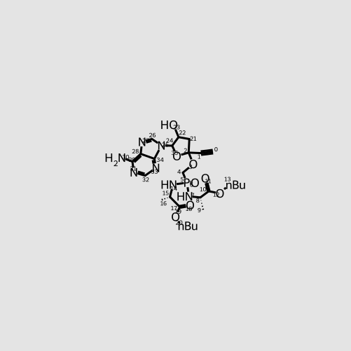 C#CC1(OCP(=O)(N[C@@H](C)C(=O)OCCCC)N[C@@H](C)C(=O)OCCCC)CC(O)C(n2cnc3c(N)ncnc32)O1